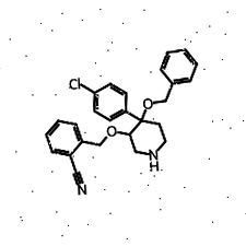 N#Cc1ccccc1COC1CNCCC1(OCc1ccccc1)c1ccc(Cl)cc1